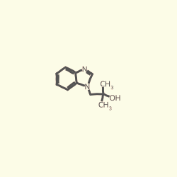 CC(C)(O)Cn1cnc2ccccc21